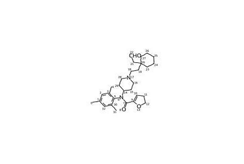 Cc1cc(C)c(N(C(=O)C2=CCCO2)C2CCN(CCC3(CC=O)CCCCC3)CC2)c(C)c1